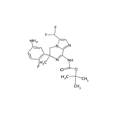 CC(C)(C)OC(=O)NC1=NC(C)(c2cc(N)ccc2F)Cn2c(C(F)F)cnc21